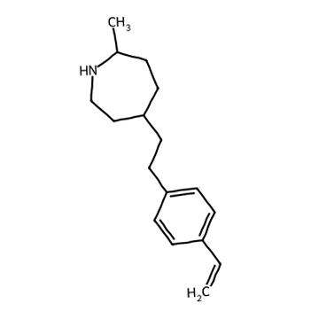 C=Cc1ccc(CCC2CCNC(C)CC2)cc1